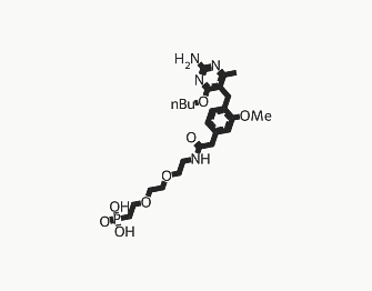 CCCCOc1nc(N)nc(C)c1Cc1ccc(CC(=O)NCCOCCOCCP(=O)(O)O)cc1OC